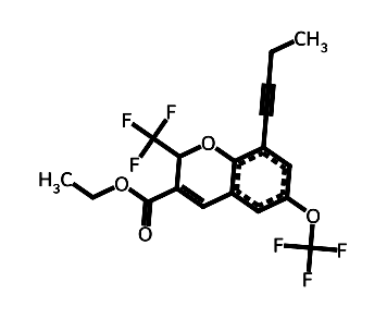 CCC#Cc1cc(OC(F)(F)F)cc2c1OC(C(F)(F)F)C(C(=O)OCC)=C2